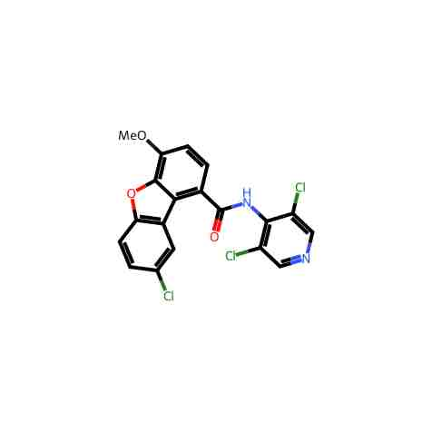 COc1ccc(C(=O)Nc2c(Cl)cncc2Cl)c2c1oc1ccc(Cl)cc12